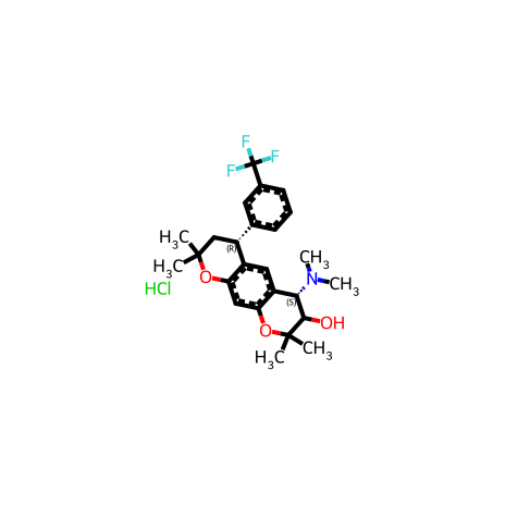 CN(C)[C@H]1c2cc3c(cc2OC(C)(C)C1O)OC(C)(C)C[C@@H]3c1cccc(C(F)(F)F)c1.Cl